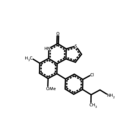 COc1cc(C)c2[nH]c(=O)c3sccc3c2c1-c1ccc(C(C)CN)c(Cl)c1